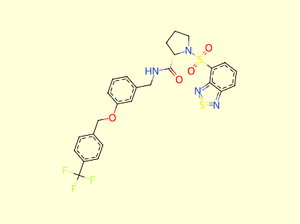 O=C(NCc1cccc(OCc2ccc(C(F)(F)F)cc2)c1)[C@@H]1CCCN1S(=O)(=O)c1cccc2nsnc12